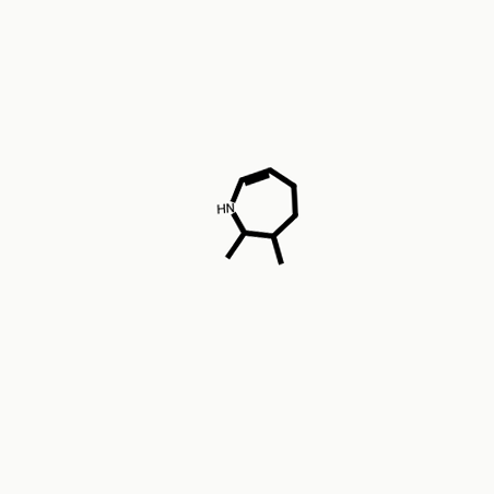 CC1CCC=CNC1C